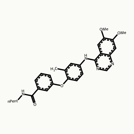 CCCCCNC(=O)c1cccc(Oc2ccc(Nc3ncnc4cc(OC)c(OC)cc34)cc2C)c1